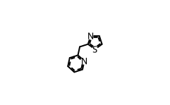 c1ccc(Cc2nccs2)nc1